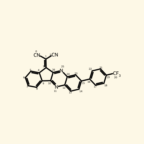 [C-]#[N+]/C(C#N)=C1\c2ccccc2-c2nc3ccc(-c4ccc(C(F)(F)F)cc4)cc3nc21